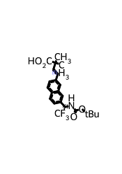 CC(C)(C)OC(=O)N[C@@H](c1ccc2ccc(/C=C/C(C)(C)C(=O)O)cc2c1)C(F)(F)F